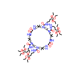 CCO[Si](CCCNC(=O)N1CCN(C(=O)NCCC[Si](OCC)(OCC)OCC)CC(C)(C)CNC(=O)C(=O)NCC(C)(C)CN(C(=O)NCCC[Si](OCC)(OCC)OCC)CCN(C(=O)NCCC[Si](OCC)(OCC)OCC)CC(C)(C)CNC(=O)C(=O)NCC(C)(C)C1)(OCC)OCC